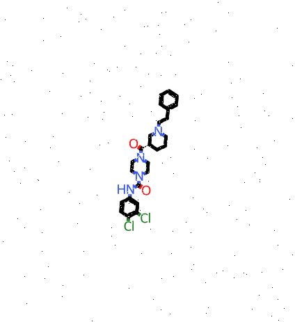 O=C(Nc1ccc(Cl)c(Cl)c1)N1CCN(C(=O)[C@H]2CCCN(CCc3ccccc3)C2)CC1